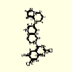 Fc1cc2c(N3CCc4ncc(N5CCCn6nccc65)cc4C3)nc(Cl)nc2cc1Cl